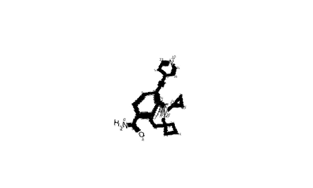 NC(=O)c1ccc(C#Cc2ccncc2)c(F)c1CC1(NC2CC2)CCC1